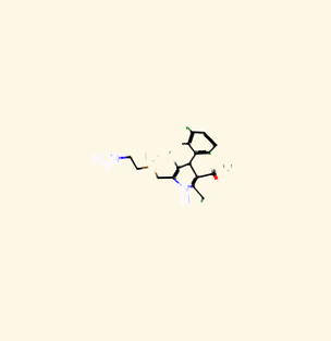 COC(=O)C1=C(CF)NC(CSCCN)=C(C(=O)O)C1c1c(F)ccc(Cl)c1C(F)(F)F